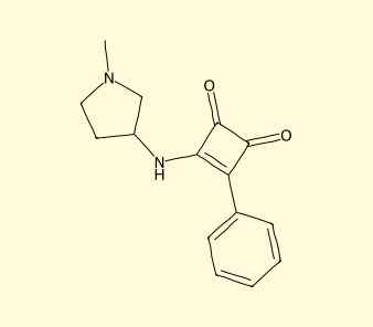 CN1CCC(Nc2c(-c3ccccc3)c(=O)c2=O)C1